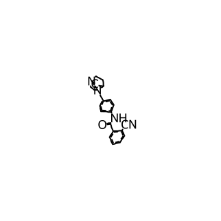 N#Cc1ccccc1C(=O)Nc1ccc(N2CCN3CCC2CC3)cc1